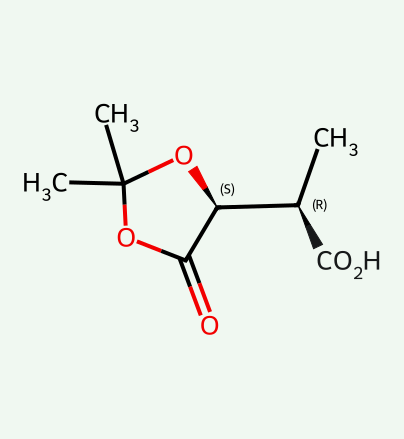 C[C@@H](C(=O)O)[C@@H]1OC(C)(C)OC1=O